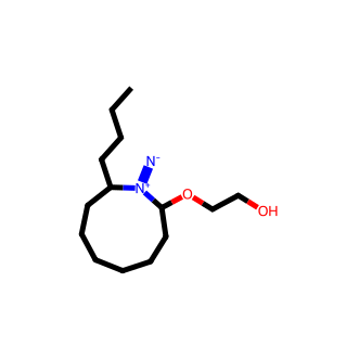 CCCCC1CCCCCCC(OCCO)[N+]1=[N-]